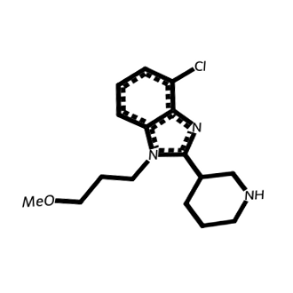 COCCCn1c(C2CCCNC2)nc2c(Cl)cccc21